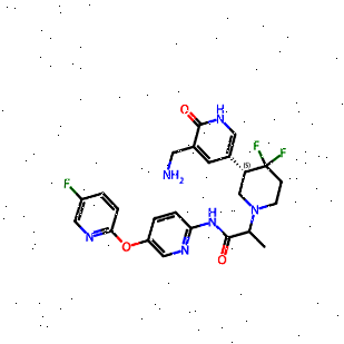 CC(C(=O)Nc1ccc(Oc2ccc(F)cn2)cn1)N1CCC(F)(F)[C@@H](c2c[nH]c(=O)c(CN)c2)C1